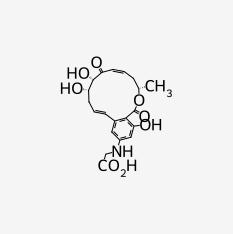 C[C@H]1C/C=C\C(=O)[C@@H](O)[C@@H](O)C/C=C/c2cc(NCC(=O)O)cc(O)c2C(=O)O1